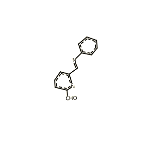 O=Cc1cccc(/C=N/c2ccccc2)n1